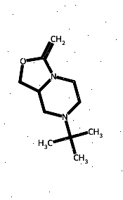 C=C1OCC2CN(C(C)(C)C)CCN12